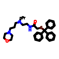 CCCN(CCCN1CCOCC1)CCNC(=O)CSC(c1ccccc1)(c1ccccc1)c1ccccc1